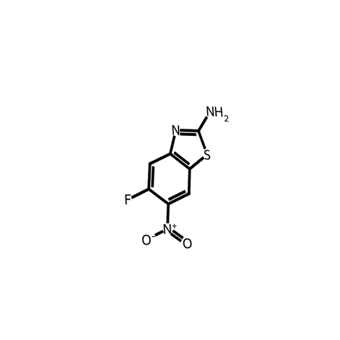 Nc1nc2cc(F)c([N+](=O)[O-])cc2s1